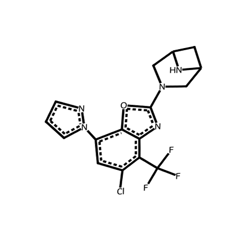 FC(F)(F)c1c(Cl)cc(-n2cccn2)c2oc(N3CC4CC(C3)N4)nc12